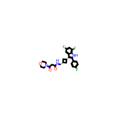 O=C(CC(=O)N1CCOCC1)NC[C@H]1C[C@@H](c2c(-c3ccc(F)cc3)[nH]c3c(F)cc(F)cc32)C1